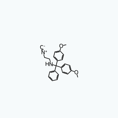 [C-]#[N+]CCNC(c1ccccc1)(c1ccc(OC)cc1)c1ccc(OC)cc1